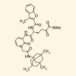 CNC(=O)C(=O)CC[C@H](NC(=O)c1oc2ccccc2c1C)C(=O)Nc1cccn(CC(=O)NC23CC4(C)CC(C)(CC(C)(C4)C2)C3)c1=O